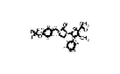 CC1=C(C(N)=O)SC(N2CCN(Cc3ccc(OC(F)(F)F)cc3)C2=O)N1c1ccccc1